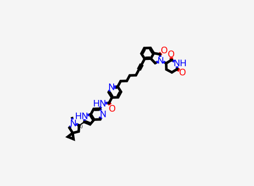 CN1CC2(CC2)C[C@@H]1c1cc2cnc(NC(=O)c3ccc(CCCCC#Cc4cccc5c4CN(C4CCC(=O)NC4=O)C5=O)nc3)cc2[nH]1